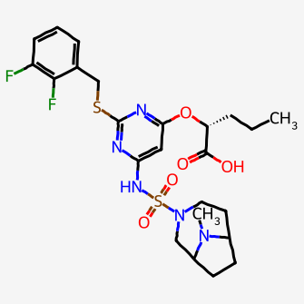 CCC[C@@H](Oc1cc(NS(=O)(=O)N2CCC3CCC(C2)N3C)nc(SCc2cccc(F)c2F)n1)C(=O)O